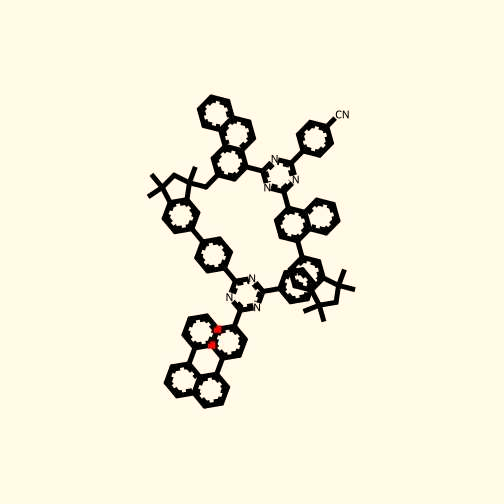 CC1(C)CC(C)(C)c2cc(-c3ccc(-c4nc(-c5ccc(C#N)cc5)nc(-c5cc(CC6(C)CC(C)(C)c7ccc(-c8ccc(-c9nc(-c%10ccccc%10)nc(-c%10ccc(-c%11cccc%12cccc(-c%13ccccc%13)c%11%12)cc%10)n9)cc8)cc76)cc6c5ccc5ccccc56)n4)c4ccccc34)ccc21